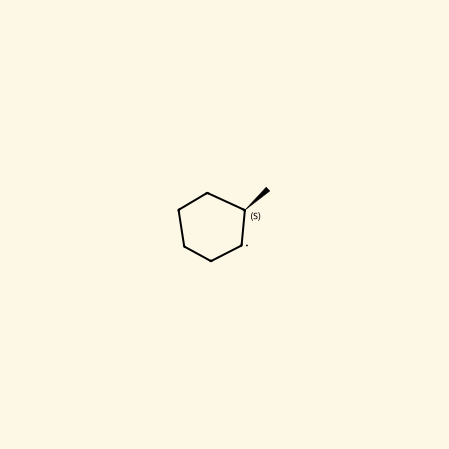 C[C@H]1[CH]CCCC1